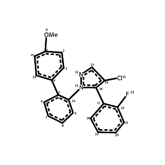 COc1ccc(-c2ccccc2-n2ncc(Cl)c2-c2ccccc2F)cc1